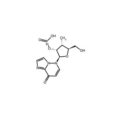 C[C@H]1[C@@H](O[PH](=O)O)[C@H](n2ccc(=O)c3nccn32)O[C@@H]1CO